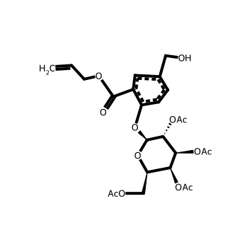 C=CCOC(=O)c1cc(CO)ccc1O[C@@H]1O[C@H](COC(C)=O)[C@H](OC(C)=O)[C@H](OC(C)=O)[C@H]1OC(C)=O